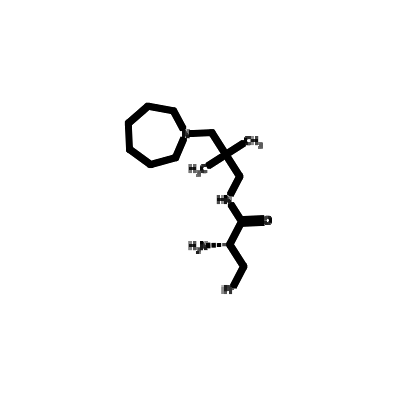 CC(C)C[C@H](N)C(=O)NCC(C)(C)CN1CCCCCC1